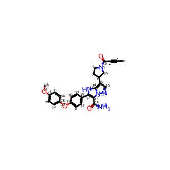 CC#CC(=O)N1CCC(c2cnn3c(C(N)=O)c(-c4ccc(Oc5ccc(OC)cc5)cc4)[nH]c23)C1